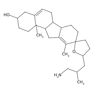 CC1=C2CC3C(CC=C4CC(O)CCC43C)C2CCC12CCC(CC(C)CN)O2